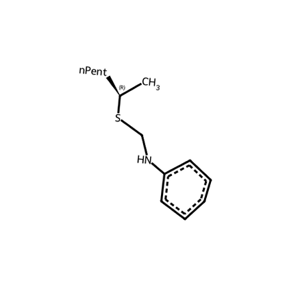 CCCCC[C@@H](C)SCNc1ccccc1